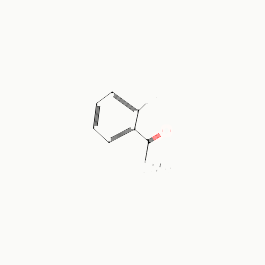 COC(=O)c1cccc[c]1[Sn]